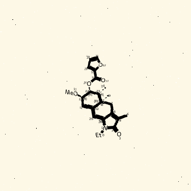 CCN1C(=O)C(C)=C2C[C@@]3(C)C(=C[C@@H](OC)[C@H](OC(=O)c4ccco4)[C@@H]3C)C=C21